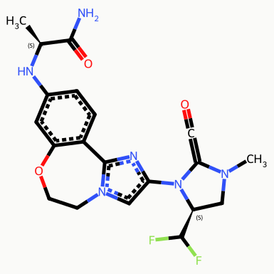 C[C@H](Nc1ccc2c(c1)OCCn1cc(N3C(=C=O)N(C)C[C@H]3C(F)F)nc1-2)C(N)=O